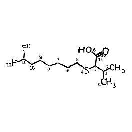 CC(C)C(SCCCCCCC(F)F)C(=O)O